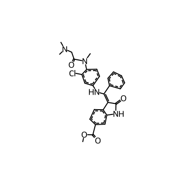 COC(=O)c1ccc2c(c1)NC(=O)C2=C(Nc1ccc(N(C)C(=O)CN(C)C)c(Cl)c1)c1ccccc1